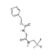 CN(CC(F)(F)F)C(=O)CNC(=O)OCc1ccccc1